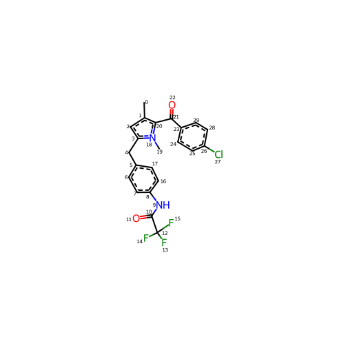 Cc1cc(Cc2ccc(NC(=O)C(F)(F)F)cc2)n(C)c1C(=O)c1ccc(Cl)cc1